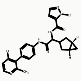 CCn1nccc1C(=O)NC(C(=O)Nc1ccc(-c2c(Cl)ccnc2C)cc1)C1C[C@@H]2C[C@@H]2C1